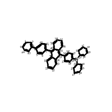 c1ccc(-c2ccc(-c3c4ccccc4c(-c4ccc(N(c5ccccc5)c5ccccc5)cc4)c4ccccc34)cc2)cc1